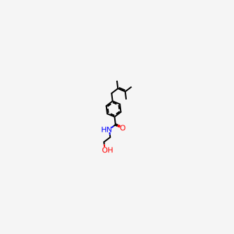 CC(C)=C(C)Cc1ccc(C(=O)NCCO)cc1